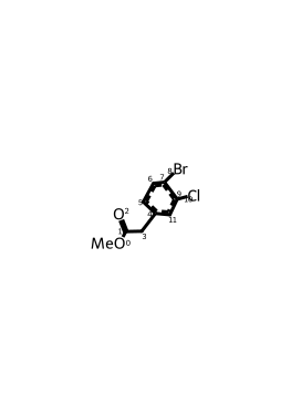 COC(=O)Cc1ccc(Br)c(Cl)c1